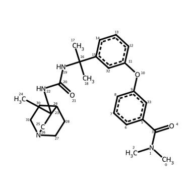 CN(C)C(=O)c1cccc(Oc2cccc(C(C)(C)NC(=O)NC3(C)CN4CCC3CC4)c2)c1